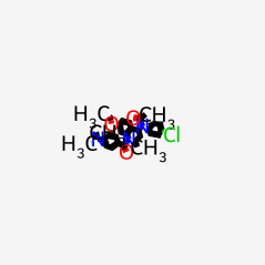 CCOc1ccc2c(c1)N(C(=O)c1ccc(N(C)C)cc1)C(C)CC2N(C(C)=O)c1ccc(Cl)cc1